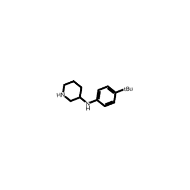 CC(C)(C)c1ccc(NC2CCCNC2)cc1